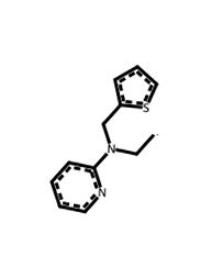 [CH2]CN(Cc1cccs1)c1ccccn1